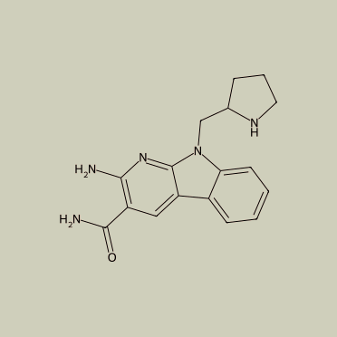 NC(=O)c1cc2c3ccccc3n(CC3CCCN3)c2nc1N